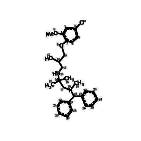 COc1cc(Cl)ccc1OCC(O)CNC(C)(C)CN(C)C(c1ccccc1)c1ccccc1